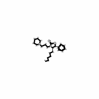 CCCCCC[C@@H]1[C@H](c2ccccc2)OC(=O)N1CCCN1CCCCC1